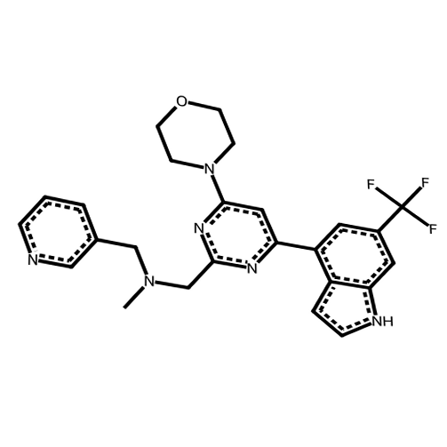 CN(Cc1cccnc1)Cc1nc(-c2cc(C(F)(F)F)cc3[nH]ccc23)cc(N2CCOCC2)n1